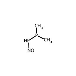 CP(C)PN=O